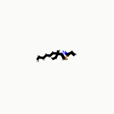 C=Cc1nc(C(C)(CC)CCCCCC)cs1